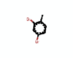 Cc1ccc(Br)[c]c1Br